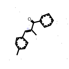 C/C(=C\c1ccc(C)cc1)C(=O)c1ccccc1